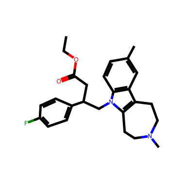 CCOC(=O)CC(Cn1c2c(c3cc(C)ccc31)CCN(C)CC2)c1ccc(F)cc1